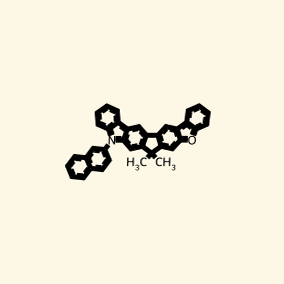 CC1(C)c2cc3oc4ccccc4c3cc2-c2cc3c4ccccc4n(-c4ccc5ccccc5c4)c3cc21